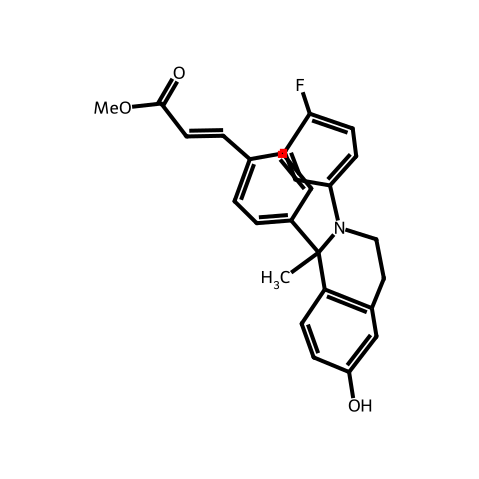 COC(=O)/C=C/c1ccc(C2(C)c3ccc(O)cc3CCN2c2ccc(F)cc2)cc1